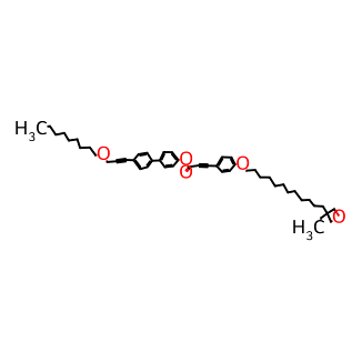 CCCCCCCCCOCC#Cc1ccc(-c2ccc(OC(=O)C#Cc3ccc(OCCCCCCCCCCCCC4(CC)COC4)cc3)cc2)cc1